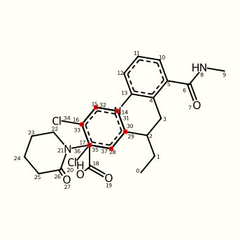 CCC(Cc1c(C(=O)NC)cccc1N1CCC(C(=O)O)(N2CCCCC2=O)CC1)c1ccc(Cl)c(Cl)c1